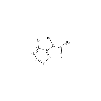 CC(C)(C)C(=O)C(Br)c1cccnc1Br